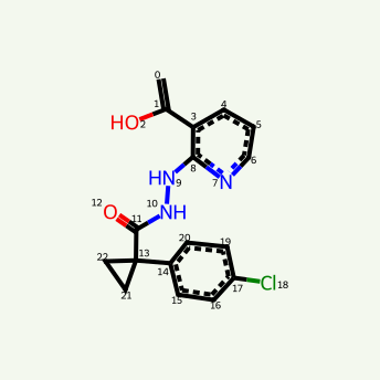 C=C(O)c1cccnc1NNC(=O)C1(c2ccc(Cl)cc2)CC1